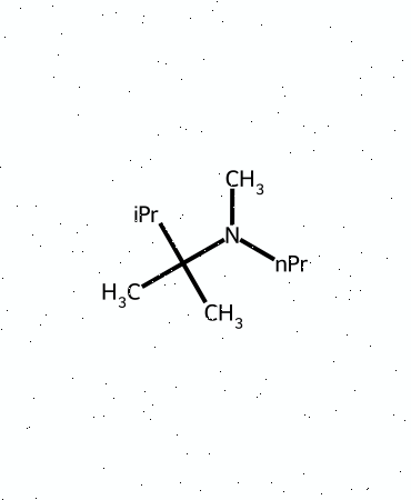 CCCN(C)C(C)(C)C(C)C